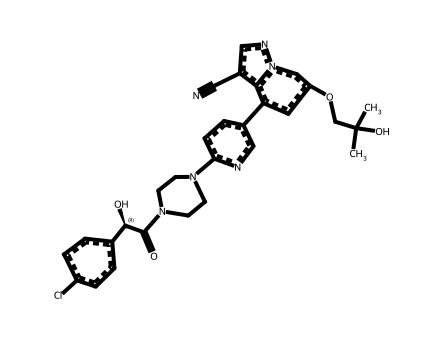 CC(C)(O)COc1cc(-c2ccc(N3CCN(C(=O)[C@H](O)c4ccc(Cl)cc4)CC3)nc2)c2c(C#N)cnn2c1